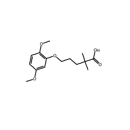 COc1ccc(OC)c(OCCCC(C)(C)C(=O)O)c1